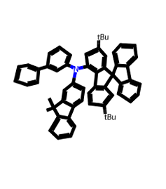 CC(C)(C)c1ccc2c(c1)C1(c3ccccc3-c3ccccc31)c1cc(C(C)(C)C)cc(N(c3cccc(-c4ccccc4)c3)c3ccc4c(c3)C(C)(C)c3ccccc3-4)c1-2